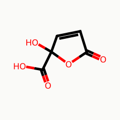 O=C1C=CC(O)(C(=O)O)O1